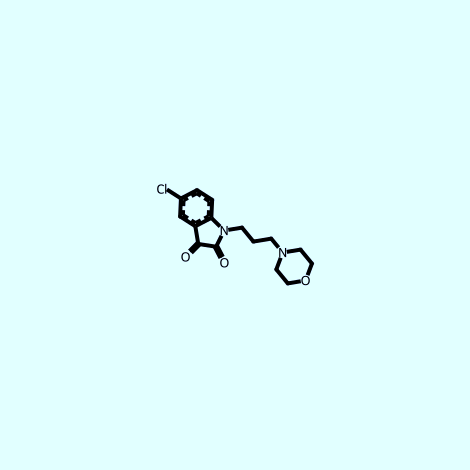 O=C1C(=O)N(CCCN2CCOCC2)c2ccc(Cl)cc21